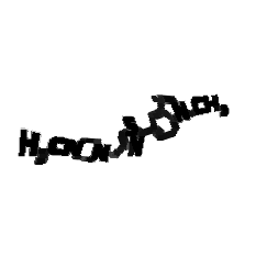 CCn1c[c]c2cc(-c3nc(CN4CCN(C)CC4)cs3)ccc21